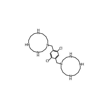 Clc1cc(CN2CCCNCCCNCCNCC2)c(Cl)cc1CN1CCCNCCCNCCNCC1